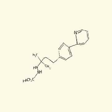 CC(C)(CCc1ccc(-c2ccccn2)cc1)NNC(=O)O